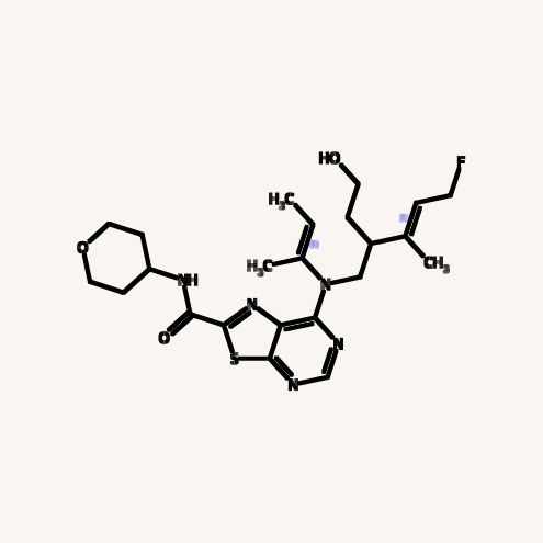 C/C=C(\C)N(CC(CCO)/C(C)=C/CF)c1ncnc2sc(C(=O)NC3CCOCC3)nc12